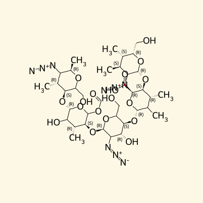 CC1[C@H](O[C@@H]2C(CO)O[C@H](O[C@@H]3C(OC=O)O[C@@H](O[C@@H]4C(CO)O[C@H](C)C(N=[N+]=[N-])[C@H]4C)C(O)[C@H]3C)C(N=[N+]=[N-])[C@H]2O)O[C@@H](C(=O)O)[C@@H](O[C@H]2O[C@@H](CO)[C@@H](C)[C@H](C)C2N=[N+]=[N-])[C@@H]1C